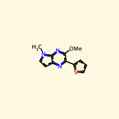 COc1nc2c(ccn2C)nc1-c1cccs1